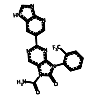 NC(=O)n1c(=O)n(-c2ccccc2C(F)(F)F)c2nc(-c3cnc4nc[nH]c4c3)ncc21